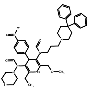 CCC1=C(N(C=O)N2CCOCC2)C(c2ccc([N+](=O)[O-])cc2)C(N(C=O)CCCN2CCC(c3ccccc3)(c3ccccc3)CC2)=C(COC)N1